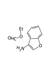 CCOC=O.Nc1coc2ccccc12